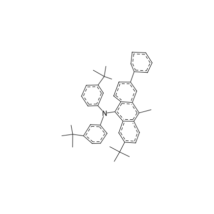 Cc1c2cc(-c3ccccc3)ccc2c(N(c2cccc(C(C)(C)C)c2)c2cccc(C(C)(C)C)c2)c2cc(C(C)(C)C)ccc12